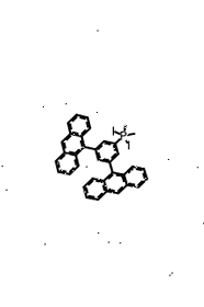 CP(C)(I)(I)c1cc(-c2c3ccccc3cc3ccccc23)cc(-c2c3ccccc3cc3ccccc23)c1